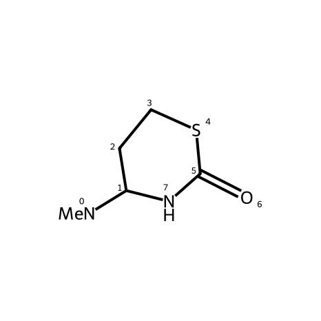 CNC1CCSC(=O)N1